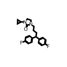 O=C1N(CCCC(c2ccc(F)cc2)c2ccc(F)cc2)CCN1C1CC1